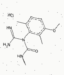 CNC(=O)N(C(=N)N)c1c(C)ccc(OC)c1C.Cl